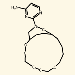 Nc1ccnc(N2CC3CCCCCCCCCCOC(CC3)C2)n1